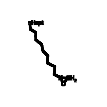 CCCCCCCCCCCCCCCCN1O[SiH2]1